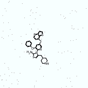 NC1SC=C(CC2CCNCC2)N1c1ncc(Sc2ccnc3ccsc23)cc1Oc1ccccc1